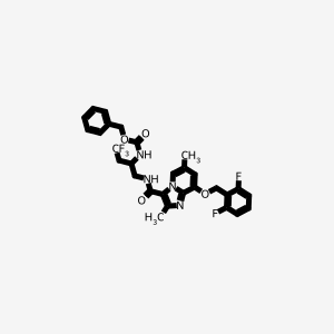 Cc1cc(OCc2c(F)cccc2F)c2nc(C)c(C(=O)NCC(CC(F)(F)F)NC(=O)OCc3ccccc3)n2c1